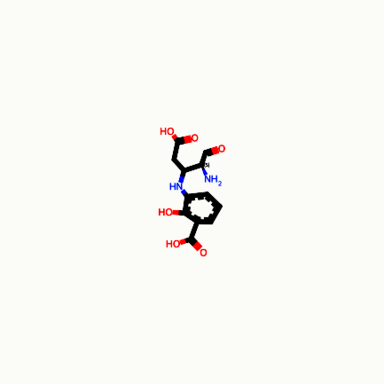 N[C@H](C=O)C(CC(=O)O)Nc1cccc(C(=O)O)c1O